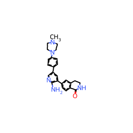 CN1CCN(c2ccc(-c3cnc(N)c(-c4ccc5c(c4)CCNC5=O)c3)cc2)CC1